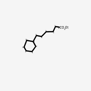 CCOC(=O)CCCCCC1CCCCC1